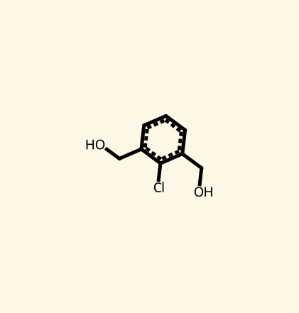 OCc1cccc(CO)c1Cl